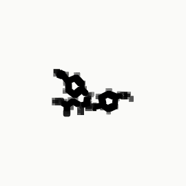 Cc1ccc(NC(=Nc2ccc(C#N)cc2)NCC(=O)O)cc1